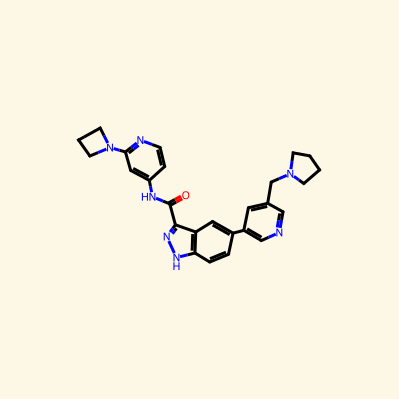 O=C(Nc1ccnc(N2CCC2)c1)c1n[nH]c2ccc(-c3cncc(CN4CCCC4)c3)cc12